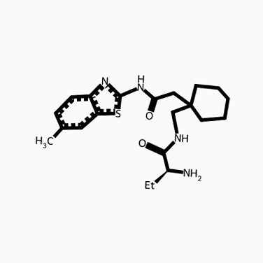 CC[C@H](N)C(=O)NCC1(CC(=O)Nc2nc3ccc(C)cc3s2)CCCCC1